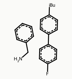 CCC(C)c1ccc(-c2ccc(F)cc2)cc1.NCc1ccccc1